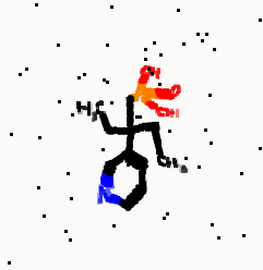 CCC(CC)(CP(=O)(O)O)c1cccnc1